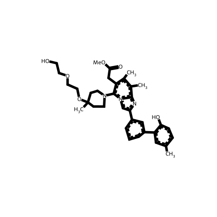 COC(=O)Cc1c(C)c(C)c2nc(-c3cccc(-c4cc(C)ccc4O)c3)cn2c1N1CCC(C)(OCCOCCO)CC1